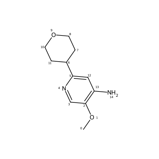 COc1cnc(C2CCOCC2)cc1N